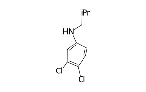 CC(C)CNc1ccc(Cl)c(Cl)c1